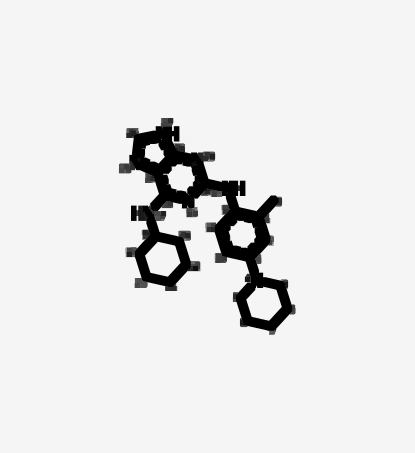 Cc1cc(N2CCCCC2)ccc1Nc1nc(NC2CCCCC2)c2nc[nH]c2n1